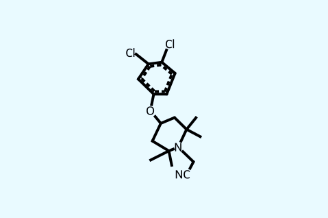 CC1(C)CC(Oc2ccc(Cl)c(Cl)c2)CC(C)(C)N1CC#N